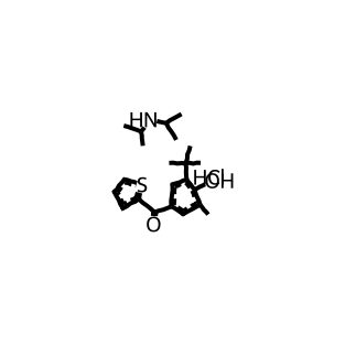 CC(C)NC(C)C.Cc1cc(C(=O)c2cccs2)cc(C(C)(C)C)c1O.Cl